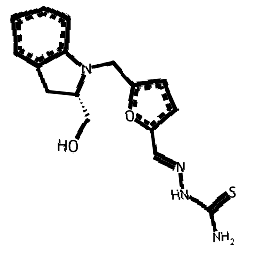 NC(=S)N/N=C/c1ccc(CN2c3ccccc3C[C@H]2CO)o1